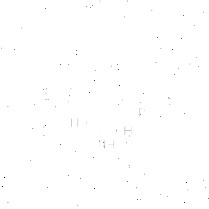 CC(C)(N)C(=CCP(C1CCCCC1)C1CCCCC1)CCP(C1CCCCC1)C1CCCCC1